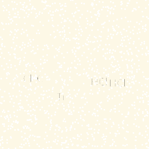 Cl.Cl.[CH3][Ti]([CH3])([CH3])([CH3])([CH3])([C]1=CC=CC1)[C](Cl)(Cl)Cl